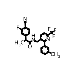 Cc1cccc(-c2nc(C(F)(F)F)ccc2CNC(=O)C(C)c2ccc(C#N)c(F)c2)c1